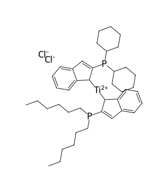 CCCCCCP(CCCCCC)C1=Cc2ccccc2[CH]1[Ti+2][CH]1C(P(C2CCCCC2)C2CCCCC2)=Cc2ccccc21.[Cl-].[Cl-]